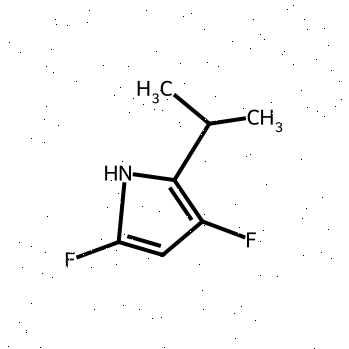 CC(C)c1[nH]c(F)cc1F